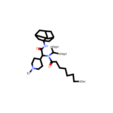 CCCCCCCCCCCCCCCCC(=O)N(C(CCCCCCC)CCCCCCC)C(C(=O)NC12CC3CC(CC(C3)C1)C2)C1CCN(CC)CC1